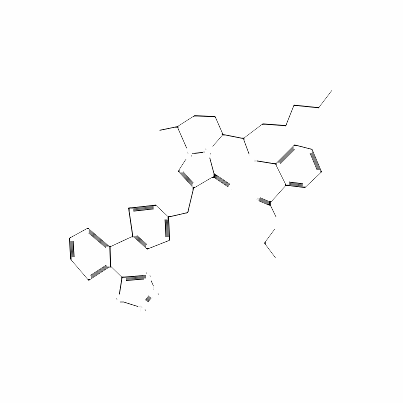 CCCCCC(Oc1ccccc1C(=O)OCC)C1CCC(C)n2cc(Cc3ccc(-c4ccccc4-c4nnn[nH]4)cc3)c(=O)n21